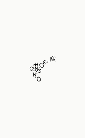 COC(=O)C1(NC(=O)c2ccc(OCCCN3CCCC3C)cc2)CCN(Cc2ccccc2)CC1